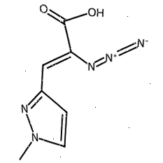 Cn1ccc(/C=C(\N=[N+]=[N-])C(=O)O)n1